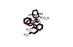 C=C/C=C\C=C(/C)N(C(=O)N1C[C@@H]2CC[C@H]([C@H]1C(=O)O)N2C(=O)N1CCCCC1c1ccccc1)c1ccccc1